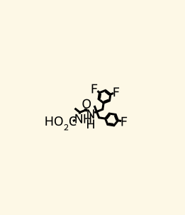 CC(NC(=O)O)C(=O)NC(C)(Cc1ccc(F)cc1)Cc1cc(F)cc(F)c1